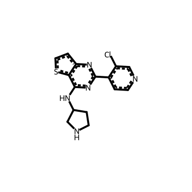 Clc1cnccc1-c1nc(NC2CCNC2)c2sccc2n1